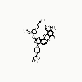 C#CCCN1C[C@@H](OC)[C@H](Oc2nc(N3CCN(C(=O)C=C)CC3)c3ccnc(Oc4c(Cl)c(F)cc(N)c4C=N)c3n2)C1